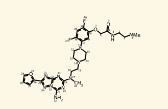 CNCCNC(=O)COc1cc(N2CCN(CCN(C)c3nc(N)n4nc(-c5ccco5)nc4n3)CC2)c(F)cc1F